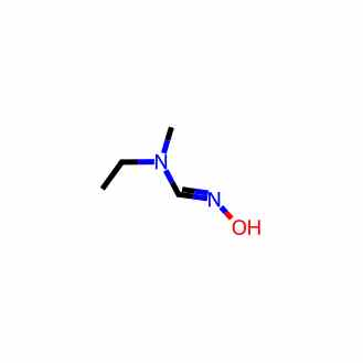 CCN(C)C=NO